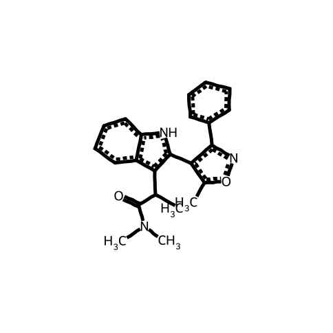 Cc1onc(-c2ccccc2)c1-c1[nH]c2ccccc2c1C(C)C(=O)N(C)C